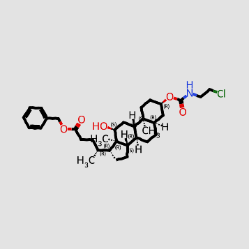 C[C@H](CCC(=O)OCc1ccccc1)[C@H]1CC[C@H]2[C@@H]3CC[C@@H]4C[C@H](OC(=O)NCCCl)CC[C@]4(C)[C@H]3C[C@H](O)[C@]12C